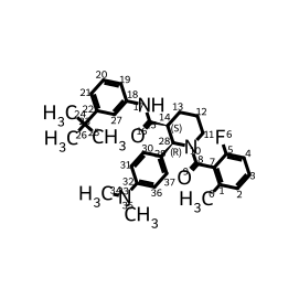 Cc1cccc(F)c1C(=O)N1CCC[C@H](C(=O)Nc2cccc(C(C)(C)C)c2)[C@@H]1c1ccc(N(C)C)cc1